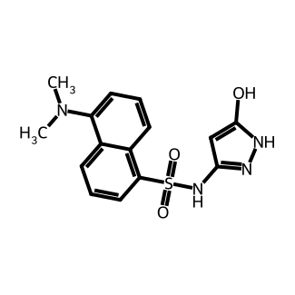 CN(C)c1cccc2c(S(=O)(=O)Nc3cc(O)[nH]n3)cccc12